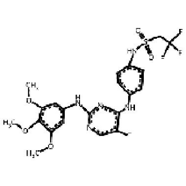 COc1cc(Nc2ncc(F)c(Nc3ccc(NS(=O)(=O)CC(F)(F)F)cc3)n2)cc(OC)c1OC